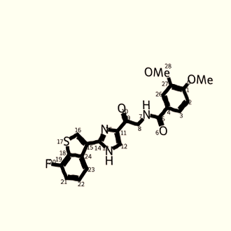 COc1ccc(C(=O)NCC(=O)c2c[nH]c(-c3csc4c(F)cccc34)n2)cc1OC